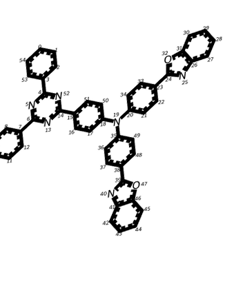 c1ccc(-c2nc(-c3ccccc3)nc(-c3ccc(N(c4ccc(-c5nc6ccccc6o5)cc4)c4ccc(-c5nc6ccccc6o5)cc4)cc3)n2)cc1